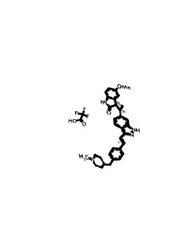 COc1ccc2c(c1)[C@]1(C[C@H]1c1ccc3c(/C=C/c4ccc(CC5CCN(C)CC5)cc4)n[nH]c3c1)C(=O)N2.O=C(O)C(F)(F)F